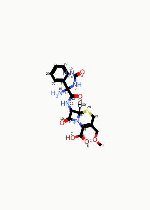 COCC1=C(C(=O)O)N2C(=O)C(NC(=O)C(N)(NC(N)=O)c3ccccc3)[C@@H]2SC1